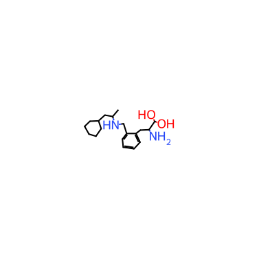 CC(CC1CCCCC1)NCc1ccccc1CC(N)C(O)O